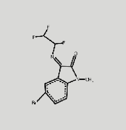 CN1C(=O)C(=NC(F)C(F)F)c2cc(Br)ccc21